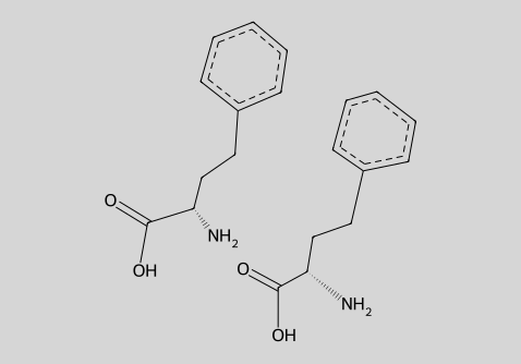 N[C@@H](CCc1ccccc1)C(=O)O.N[C@@H](CCc1ccccc1)C(=O)O